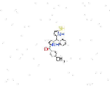 Cc1ccc(C(=O)c2ccc(C(c3ccccc3)c3ccc(S)[nH]3)[nH]2)cc1